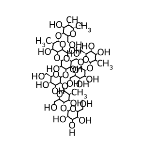 CC1C(O)[C@H](O)[C@H](CO)O[C@H]1O[C@@H]1C(O)[C@H](O)C(CO)O[C@@H]1OCC1O[C@@H](O[C@@H]2C(CO)O[C@@H](O[C@@H]3C(CO)O[C@@H](C)[C@@H](C)C3O)[C@@H](C)C2O)C(O)C(OC2O[C@H](CO)[C@@H](O)C(O)C2O[C@@H]2OC(CO)[C@@H](O[C@@H]3OC(CO)[C@H](O)C(O)[C@@H]3O)C(O)[C@@H]2C)[C@@H]1O